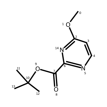 COc1ccnc(C(=O)OC(C)(C)C)n1